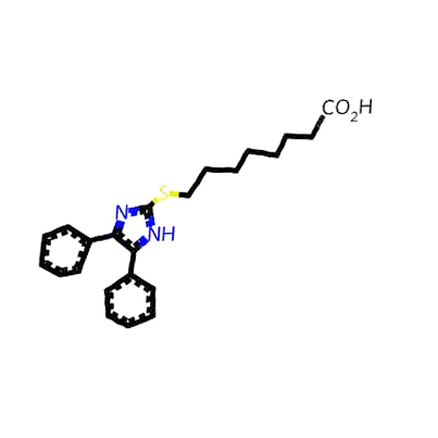 O=C(O)CCCCCCCSc1nc(-c2ccccc2)c(-c2ccccc2)[nH]1